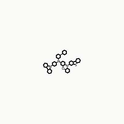 c1ccc(-c2cccc(N(c3ccc(-n4c5ccccc5c5ccccc54)cc3)c3ccc4c(c3)Oc3ccccc3N4c3ccc4c(c3)sc3ccccc34)c2)cc1